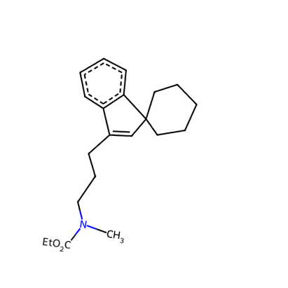 CCOC(=O)N(C)CCCC1=CC2(CCCCC2)c2ccccc21